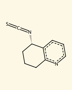 S=C=N[C@H]1CCCc2ncccc21